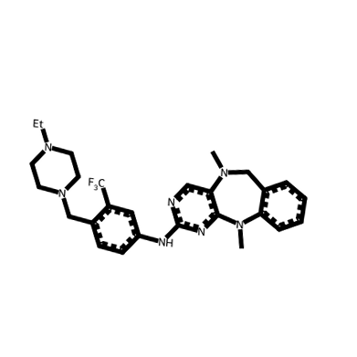 CCN1CCN(Cc2ccc(Nc3ncc4c(n3)N(C)c3ccccc3CN4C)cc2C(F)(F)F)CC1